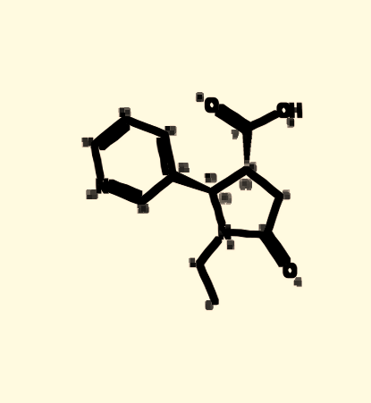 CCN1C(=O)C[C@@H](C(=O)O)[C@@H]1c1cccnc1